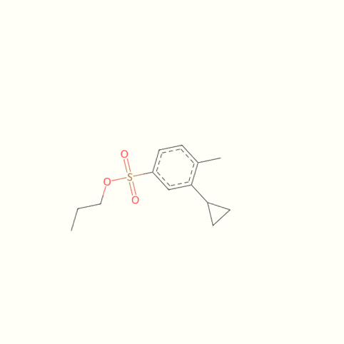 CCCOS(=O)(=O)c1ccc(C)c(C2CC2)c1